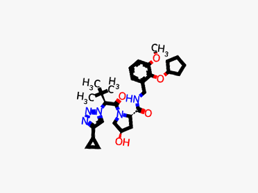 COc1cccc(CNC(=O)[C@@H]2C[C@@H](O)CN2C(=O)[C@@H](n2cc(C3CC3)nn2)C(C)(C)C)c1OC1CCCC1